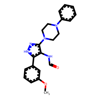 COc1cccc(-c2[nH]nc(N3CCN(c4ccccc4)CC3)c2NC=O)c1